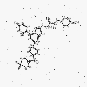 Nc1ccc(CNC(=O)NCc2cc3cc(-c4ccc(C(=O)N5CCC(F)(F)CC5)cc4)cc(-c4ccc(F)cc4F)c3o2)cn1